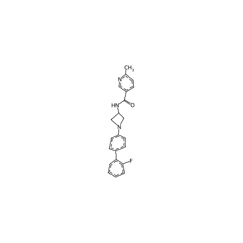 Cc1ccc(C(=O)NC2CN(c3ccc(-c4ccccc4F)cc3)C2)cn1